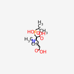 CC(C)CP(=O)(O)C/C(C(=O)O)=C(/CCCC(=O)O)N(C)C